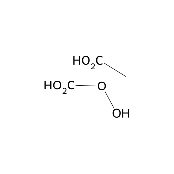 CC(=O)O.O=C(O)OO